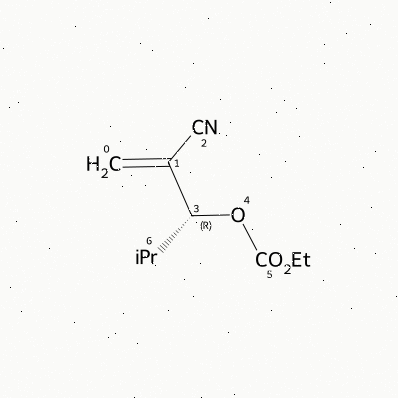 C=C(C#N)[C@H](OC(=O)OCC)C(C)C